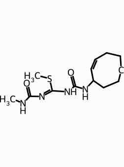 CNC(=O)N=C(NC(=O)NC1C=CCCCCC1)SC